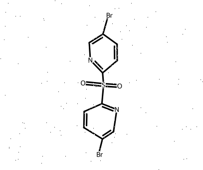 O=S(=O)(c1ccc(Br)cn1)c1ccc(Br)cn1